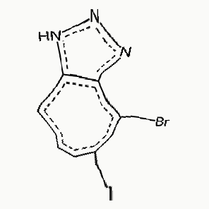 Brc1c(I)ccc2[nH]nnc12